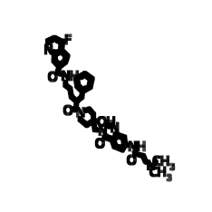 CN(C)CCC(=O)Nc1ccc2c(=O)n(CC3(O)CCN(C(=O)C(CCCNC(=O)c4ccc5c(F)ccnc5c4)Cc4ccccc4)CC3)cnc2c1